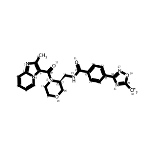 Cc1nc2ccccn2c1C(=O)N1CCOC[C@@H]1CNC(=O)c1ccc(-c2noc(C(F)(F)F)n2)cc1